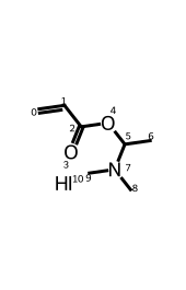 C=CC(=O)OC(C)N(C)C.I